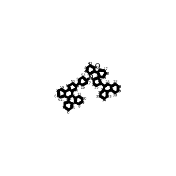 c1ccc(-c2c(-c3ccccc3)c3cc(-c4ccc(N(c5ccc(-c6cc7ccccc7c7ccccc67)cc5)c5cccc6oc7ccccc7c56)cc4)ccc3c3ccccc23)cc1